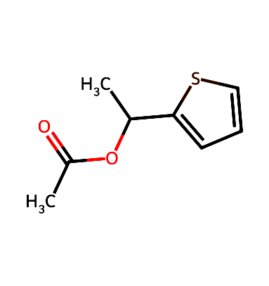 CC(=O)OC(C)c1cccs1